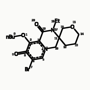 CCCCOc1c2n(cc(Br)c1=O)CC1(CCCOC1)N(CC)C2=O